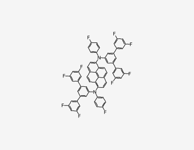 Fc1ccc(N(c2cc(-c3cc(F)cc(F)c3)cc(-c3cc(F)cc(F)c3)c2)c2ccc3ccc4c(N(c5ccc(F)cc5)c5cc(-c6cc(F)cc(F)c6)cc(-c6cc(F)cc(F)c6)c5)ccc5ccc2c3c54)cc1